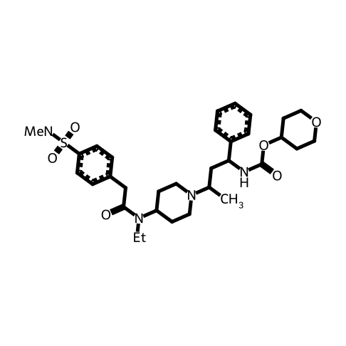 CCN(C(=O)Cc1ccc(S(=O)(=O)NC)cc1)C1CCN(C(C)CC(NC(=O)OC2CCOCC2)c2ccccc2)CC1